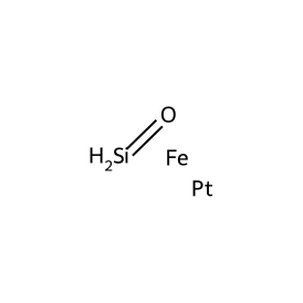 O=[SiH2].[Fe].[Pt]